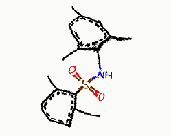 Cc1cc(C)c(NS(=O)(=O)c2c(C)cccc2C)c(C)c1